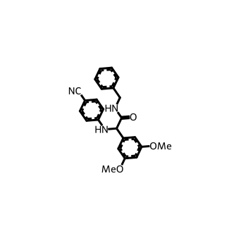 COc1cc(OC)cc(C(Nc2ccc(C#N)cc2)C(=O)NCc2ccccc2)c1